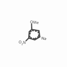 COc1cccc([N+](=O)[O-])c1.[Na]